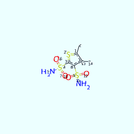 Cc1sc(S(N)(=O)=O)c(S(N)(=O)=O)c1C